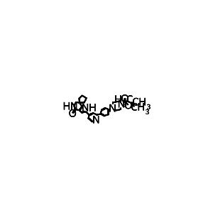 CC(C)(C)OC(=O)N1CCN(c2ccc(-c3cc(-c4cc5c([nH]4)C4(CCCC4)CNC5=O)ccn3)cc2)CC1